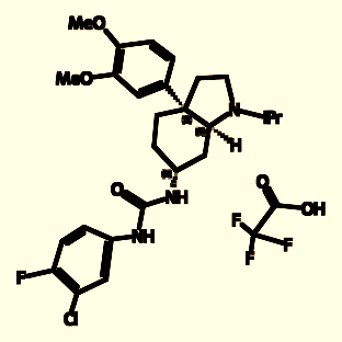 COc1ccc([C@@]23CC[C@@H](NC(=O)Nc4ccc(F)c(Cl)c4)C[C@@H]2N(C(C)C)CC3)cc1OC.O=C(O)C(F)(F)F